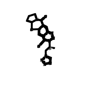 C[C@H](Cn1cnnn1)n1nnc2cc3c(cc2c1=O)OC1CCCN1C3=O